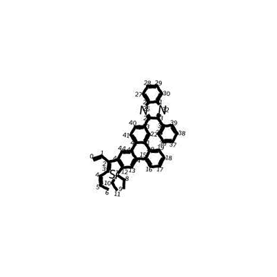 C=CC1=C(/C=C\C)[Si](CC)(CC)c2cc3c4ccccc4c4cc(-c5nc6ccccc6nc5-c5ccccc5)ccc4c3cc21